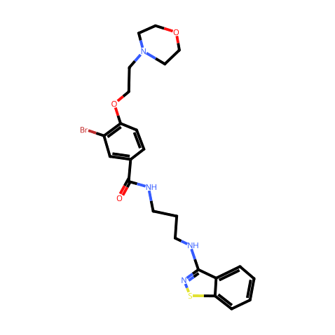 O=C(NCCCNc1nsc2ccccc12)c1ccc(OCCN2CCOCC2)c(Br)c1